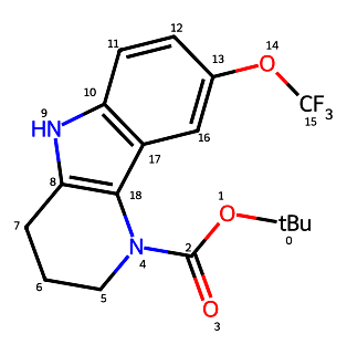 CC(C)(C)OC(=O)N1CCCc2[nH]c3ccc(OC(F)(F)F)cc3c21